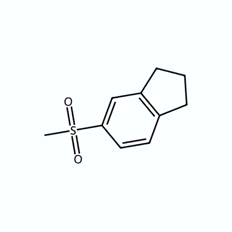 CS(=O)(=O)c1ccc2c(c1)CCC2